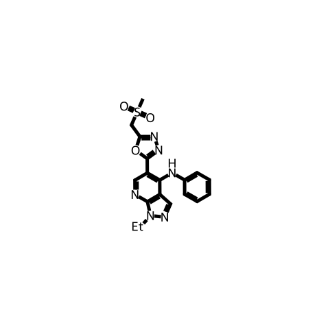 CCn1ncc2c(Nc3ccccc3)c(-c3nnc(CS(C)(=O)=O)o3)cnc21